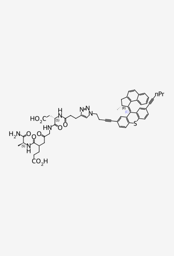 CCCC#Cc1ccc2c(c1)/C(=C1\c3c(ccc4ccccc34)C[C@H]1C)c1cc(C#CCCn3cc(CCC(=O)N[C@@H](CC(=O)O)C(=O)NCC(=O)CC(CCC(=O)O)C(=O)N[C@@H](C)C(N)=O)nn3)ccc1S2